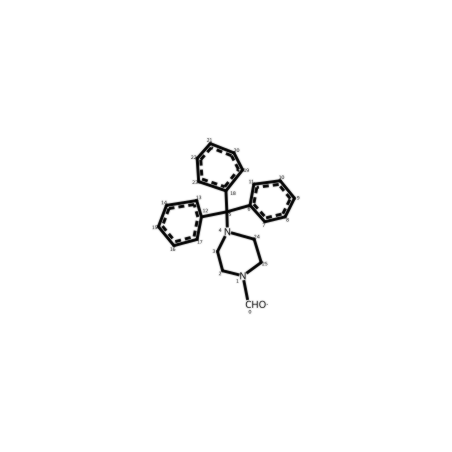 O=[C]N1CCN(C(c2ccccc2)(c2ccccc2)c2ccccc2)CC1